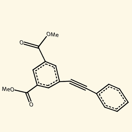 COC(=O)c1cc(C#Cc2ccccc2)cc(C(=O)OC)c1